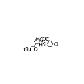 CC(C)(C)CC(=O)c1cccc(C(=O)Nc2ccc(Cl)cc2C(=O)O)c1